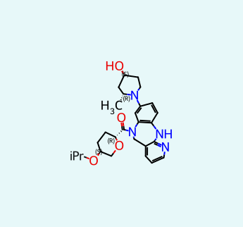 CC(C)O[C@H]1CC[C@H](C(=O)N2Cc3cccnc3Nc3ccc(N4CC[C@H](O)C[C@H]4C)cc32)OC1